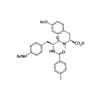 CC(=O)Nc1ccc(C[C@H](NC(=O)c2ccc(C)cc2)C(=O)N(C)[C@@H](Cc2ccc(OC(C)=O)cc2)C(=O)O)cc1